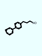 O=NCCCc1ccc(-c2ccccc2)cc1